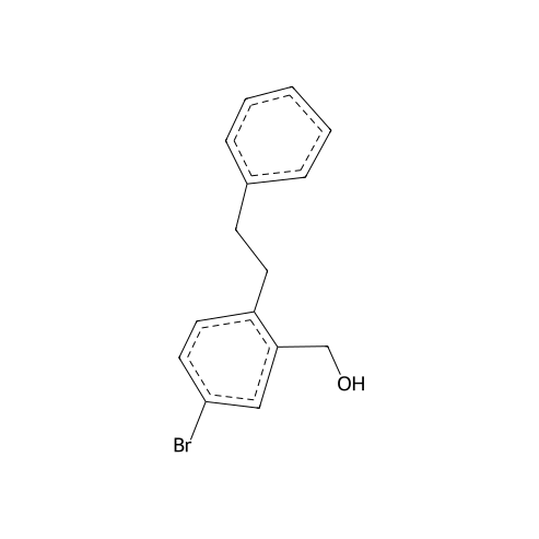 OCc1cc(Br)ccc1CCc1ccccc1